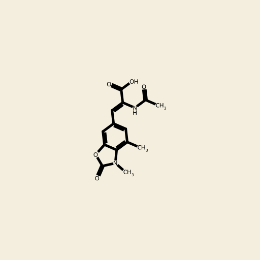 CC(=O)N/C(=C\c1cc(C)c2c(c1)oc(=O)n2C)C(=O)O